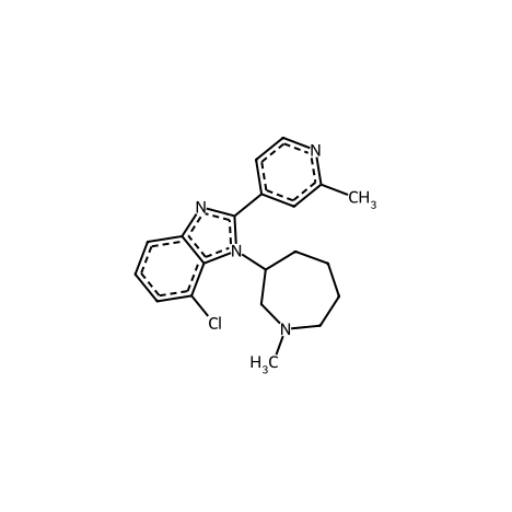 Cc1cc(-c2nc3cccc(Cl)c3n2C2CCCCN(C)C2)ccn1